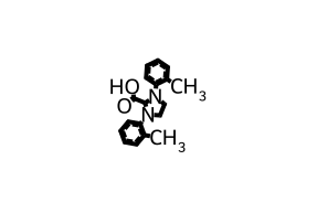 Cc1ccccc1N1CCN(c2ccccc2C)C1C(=O)O